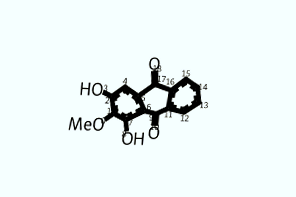 COc1c(O)cc2c(c1O)C(=O)c1ccccc1C2=O